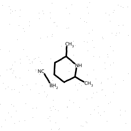 BC#N.CC1CCCC(C)N1